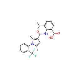 Cc1cc(C(=O)Nc2c(C(=O)O)cccc2C(C)C)c(C)n1-c1ccccc1C(F)(F)F